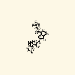 Cc1ccn2ncc(C(=O)NCc3cc4cccc(C(=O)OCC(F)(F)F)c4o3)c2n1